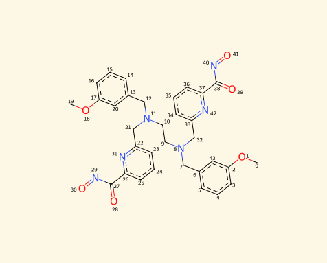 COc1cccc(CN(CCN(Cc2cccc(OC)c2)Cc2cccc(C(=O)N=O)n2)Cc2cccc(C(=O)N=O)n2)c1